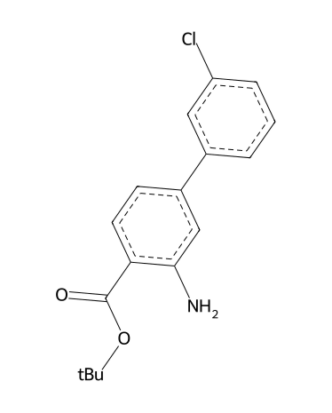 CC(C)(C)OC(=O)c1ccc(-c2cccc(Cl)c2)cc1N